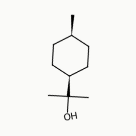 CC(C)(O)[C@H]1CC[C@@H](C)CC1